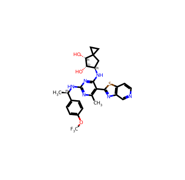 Cc1nc(N[C@H](C)c2ccc(OC(F)(F)F)cc2)nc(N[C@@H]2CC3(CC3)[C@@H](O)[C@H]2O)c1-c1nc2cnccc2s1